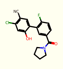 N#Cc1cc(-c2cc(C(=O)N3CCCC3)ccc2F)c(O)cc1Cl